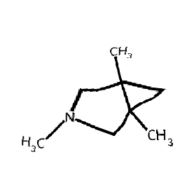 CN1CC2(C)CC2(C)C1